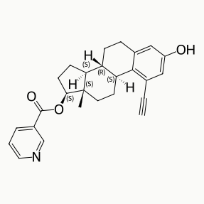 C#Cc1cc(O)cc2c1[C@H]1CC[C@]3(C)[C@@H](OC(=O)c4cccnc4)CC[C@H]3[C@@H]1CC2